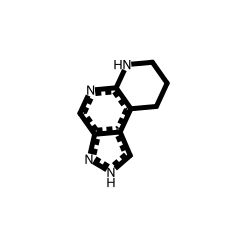 c1nc2c(c3c[nH]nc13)CCCN2